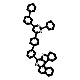 c1ccc(-c2cccc(-c3cc(-c4ccc(-c5cccc(-c6nc7ccc8ccccc8c7c7c6sc6ccccc67)c5)cc4)nc(-c4ccccc4)n3)c2)cc1